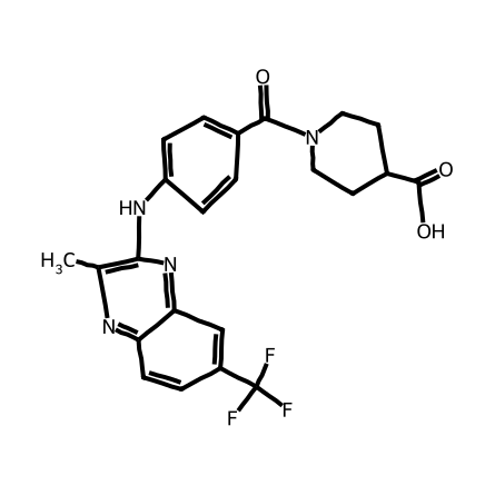 Cc1nc2ccc(C(F)(F)F)cc2nc1Nc1ccc(C(=O)N2CCC(C(=O)O)CC2)cc1